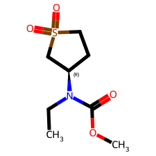 CCN(C(=O)OC)[C@@H]1CCS(=O)(=O)C1